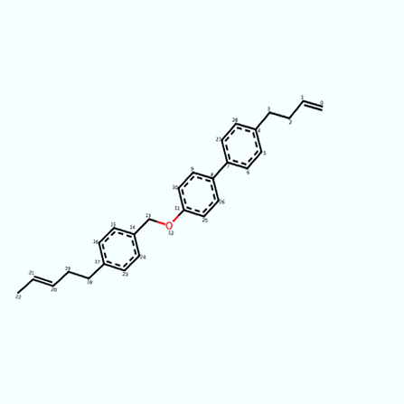 C=CCCc1ccc(-c2ccc(OCc3ccc(CC/C=C/C)cc3)cc2)cc1